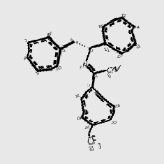 N#C/C(=N\[C@H](Cc1ccccc1)c1ccccc1)c1ccc(C(F)(F)F)cc1